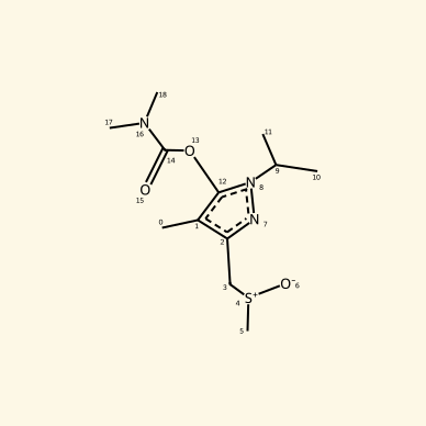 Cc1c(C[S+](C)[O-])nn(C(C)C)c1OC(=O)N(C)C